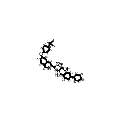 CC(C)(C)c1ccc(Oc2ccc3cnc(C(=O)N[C@H](Cc4ccc(-c5ccccc5)cc4)C(=O)O)cc3c2)cc1